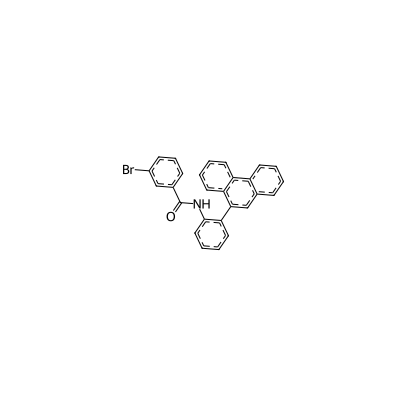 O=C(Nc1ccccc1-c1cc2ccccc2c2ccccc12)c1cccc(Br)c1